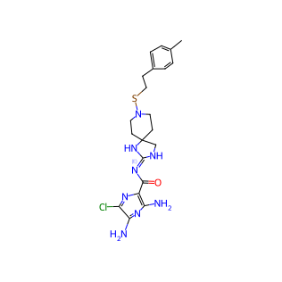 Cc1ccc(CCSN2CCC3(CC2)CN/C(=N\C(=O)c2nc(Cl)c(N)nc2N)N3)cc1